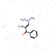 CN(C)C=C(C(=O)c1ccccc1)[N+](=O)[O-]